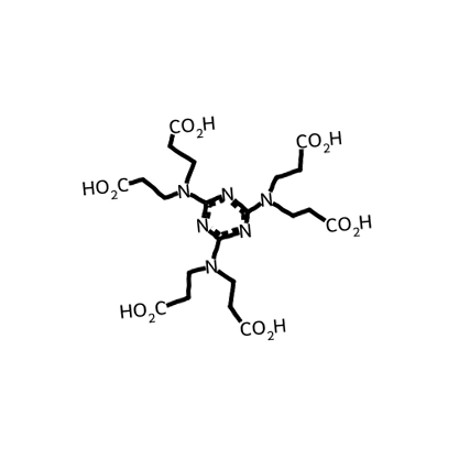 O=C(O)CCN(CCC(=O)O)c1nc(N(CCC(=O)O)CCC(=O)O)nc(N(CCC(=O)O)CCC(=O)O)n1